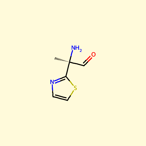 C[C@](N)(C=O)c1nccs1